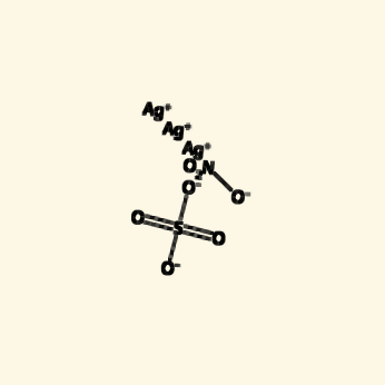 O=S(=O)([O-])[O-].O=[N+]([O-])[O-].[Ag+].[Ag+].[Ag+]